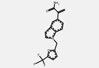 C=C(C(N)=O)c1ccc2c(ccn2Cc2ccc(C(F)(F)F)o2)c1